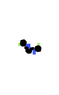 Fc1cccc(NCc2cccc(CNc3cccc(F)c3)n2)c1